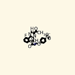 CC(=O)C1=NNC(c2c(F)cccc2N(C)C(=O)/C=C/Oc2ccc([N+](=O)[O-])cc2)=NN1